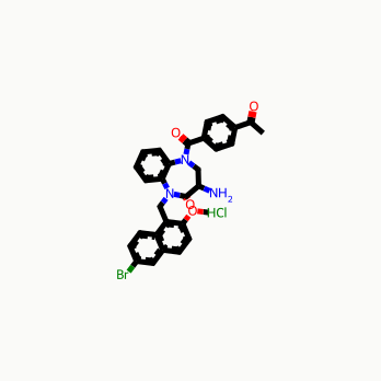 COc1ccc2cc(Br)ccc2c1CN1C(=O)C(N)CN(C(=O)c2ccc(C(C)=O)cc2)c2ccccc21.Cl